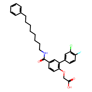 O=C(O)COc1ccc(C(=O)NCCCCCCCCc2ccccc2)cc1-c1ccc(F)c(Cl)c1